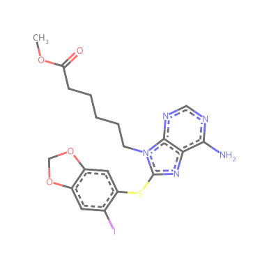 COC(=O)CCCCCn1c(Sc2cc3c(cc2I)OCO3)nc2c(N)ncnc21